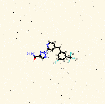 NC(=O)c1cnn(-c2cc(Cc3cc(F)cc(C(F)(F)F)c3)ccn2)n1